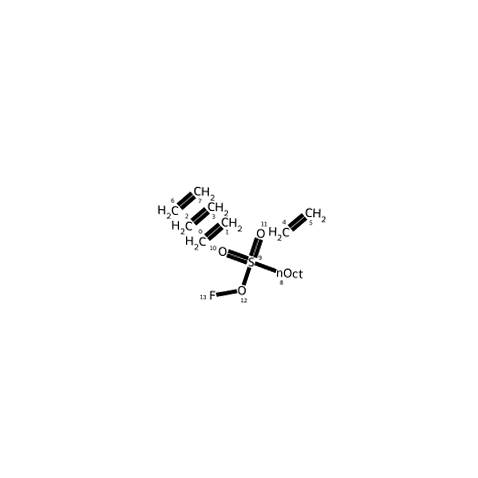 C=C.C=C.C=C.C=C.CCCCCCCCS(=O)(=O)OF